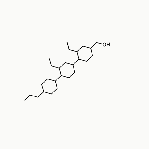 CCCC1CCC(C2CCC(C3CCC(CO)CC3CC)CC2CC)CC1